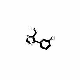 SCc1scnc1-c1cccc(Cl)c1